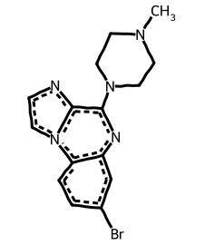 CN1CCN(c2nc3cc(Br)ccc3n3ccnc23)CC1